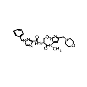 CN1C(=O)C(NC(=O)c2ncn(Cc3ccccc3)n2)COn2nc(CN3CCOCC3)cc21